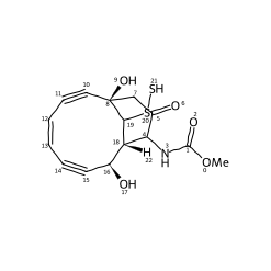 COC(=O)NC1C(=O)C[C@@]2(O)C#C/C=C\C#C[C@H](O)[C@@H]1C2SS